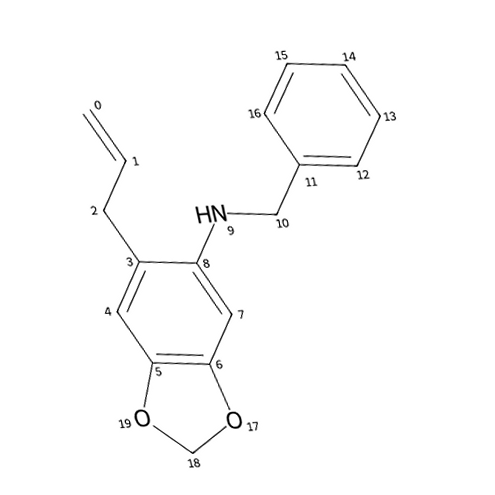 C=CCc1cc2c(cc1NCc1ccccc1)OCO2